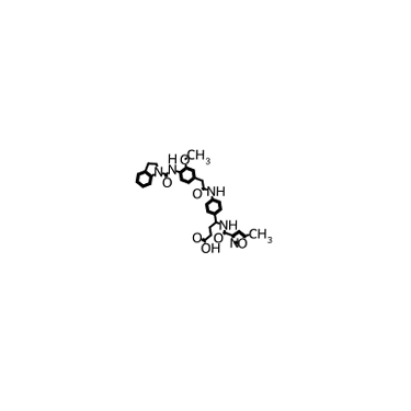 COc1cc(CC(=O)Nc2ccc(C(CCC(=O)O)NC(=O)c3cc(C)on3)cc2)ccc1NC(=O)N1CCc2ccccc21